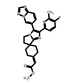 COC(=O)C=C1CCC2(CC1)CCn1c2nc(-c2ccc(F)c(C)n2)c1-c1ccc2ncnn2c1